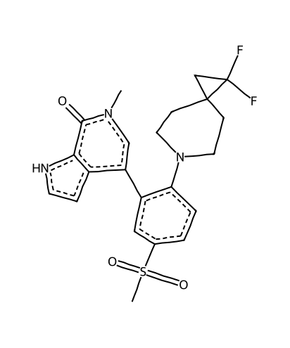 Cn1cc(-c2cc(S(C)(=O)=O)ccc2N2CCC3(CC2)CC3(F)F)c2cc[nH]c2c1=O